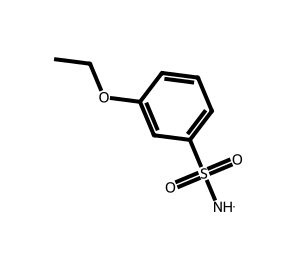 CCOc1cccc(S([NH])(=O)=O)c1